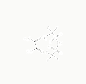 C=C(C)C(=O)O.O=S(=O)(NS(=O)(=O)C(F)(F)F)C(F)(F)F